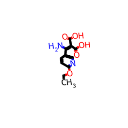 CCOc1ccc(C(N)=C(C(=O)O)C(=O)O)cn1